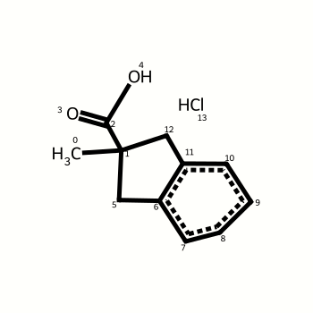 CC1(C(=O)O)Cc2ccccc2C1.Cl